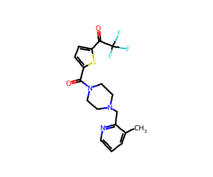 Cc1cccnc1CN1CCN(C(=O)c2ccc(C(=O)C(F)(F)F)s2)CC1